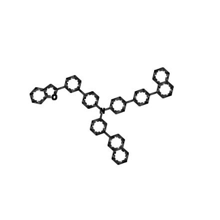 c1cc(-c2ccc(N(c3ccc(-c4ccc(-c5cccc6ccccc56)cc4)cc3)c3cccc(-c4ccc5ccccc5c4)c3)cc2)cc(-c2cc3ccccc3o2)c1